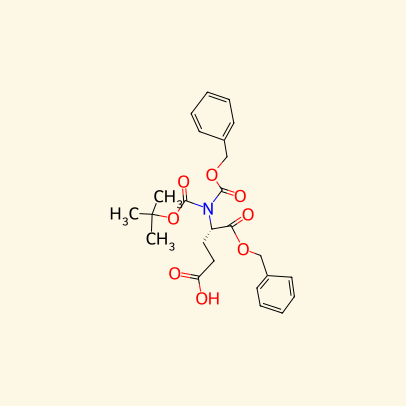 CC(C)(C)OC(=O)N(C(=O)OCc1ccccc1)[C@@H](CCC(=O)O)C(=O)OCc1ccccc1